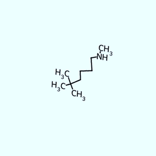 CNCCCCC(C)(C)C